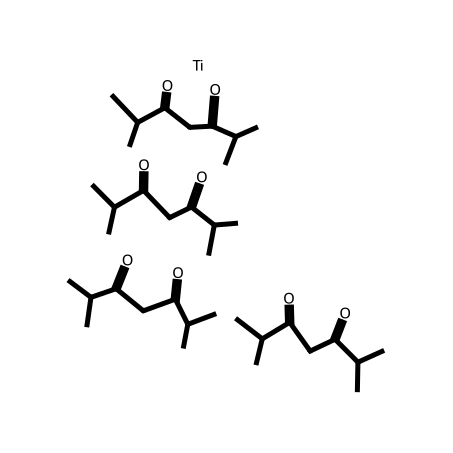 CC(C)C(=O)CC(=O)C(C)C.CC(C)C(=O)CC(=O)C(C)C.CC(C)C(=O)CC(=O)C(C)C.CC(C)C(=O)CC(=O)C(C)C.[Ti]